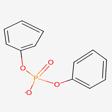 [O]P(=O)(Oc1ccccc1)Oc1ccccc1